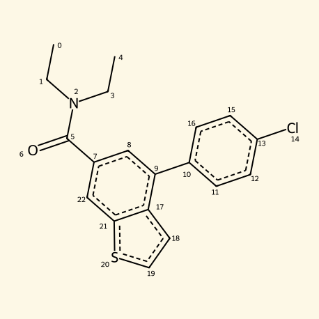 CCN(CC)C(=O)c1cc(-c2ccc(Cl)cc2)c2ccsc2c1